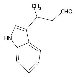 CC(CC=O)c1c[nH]c2ccccc12